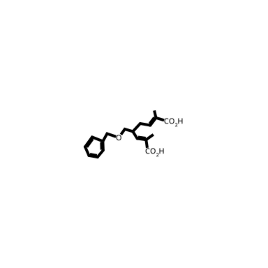 CC(=CCC(C=C(C)C(=O)O)COCc1ccccc1)C(=O)O